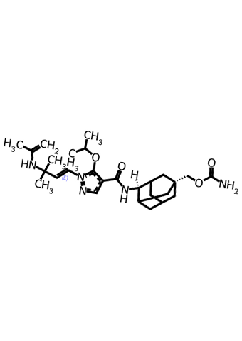 C=C(C)NC(C)(C)/C=C/n1ncc(C(=O)N[C@H]2C3CC4CC2C[C@](COC(N)=O)(C4)C3)c1OC(C)C